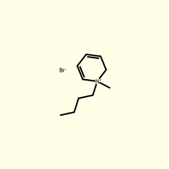 CCCC[N+]1(C)C=CC=CC1.[Br-]